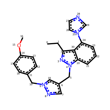 CCc1nn(Cc2cnn(Cc3ccc(OC)cc3)c2)c2cccc(-n3ccnc3)c12